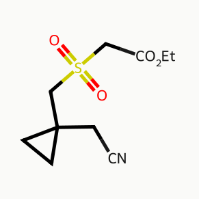 CCOC(=O)CS(=O)(=O)CC1(CC#N)CC1